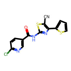 N#Cc1sc(NC(=O)c2ccc(Cl)nc2)nc1-c1cccs1